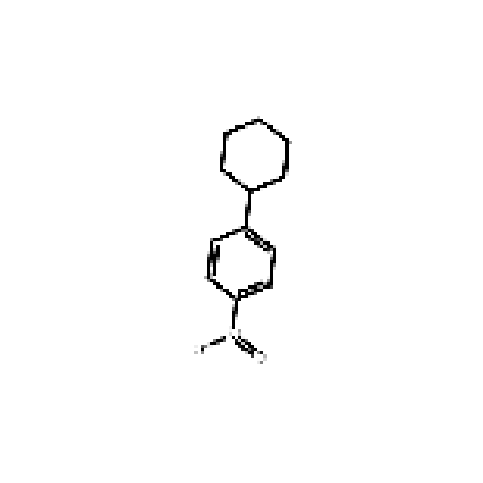 O=[N+]([O-])c1ccc(C2CCCCC2)cc1